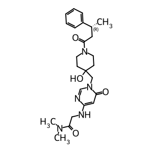 C[C@H](CC(=O)N1CCC(O)(Cn2cnc(NCC(=O)N(C)C)cc2=O)CC1)c1ccccc1